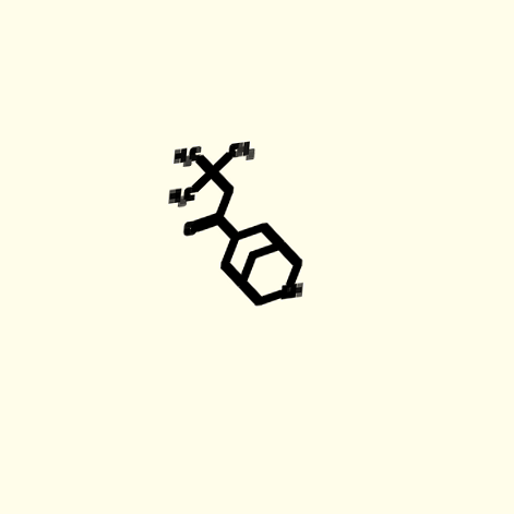 CC(C)(C)CC(=O)C1CC2CNCC(C2)C1